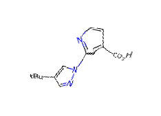 CC(C)(C)c1cnn(-c2cc(C(=O)O)ccn2)c1